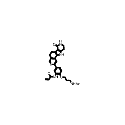 C=CC(=O)Nc1cc(-c2cc3c(cn2)CCc2c-3[nH]c3c2C(=O)NCC3)ccc1OCCCNC(C)=O